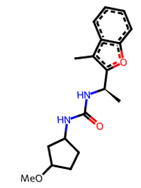 COC1CCC(NC(=O)N[C@H](C)c2oc3ccccc3c2C)C1